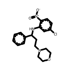 O=[N+]([O-])c1ccc(Cl)cc1NC(CCN1CCOCC1)c1ccccc1